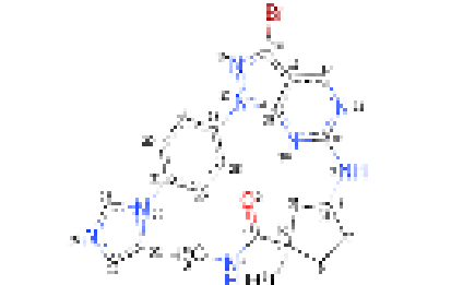 CNC(=O)[C@]1(C)CC[C@@H](Nc2ncc3c(Br)nn(-c4ccc(-n5ccnc5)cc4)c3n2)C1